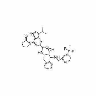 CC(C)c1c[nH]c2c(N3CCCC3=O)cc(C(=O)N[C@@H](Cc3ccccc3)[C@@H](O)CNCc3cccc(C(F)(F)F)c3)cc12